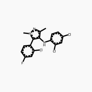 Cc1nn(C)c(-c2ccc(F)cc2Cl)c1Nc1ccc(Cl)cc1Cl